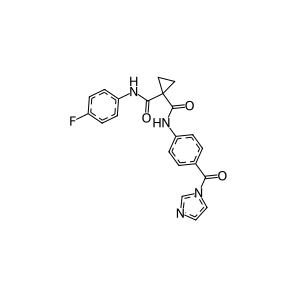 O=C(c1ccc(NC(=O)C2(C(=O)Nc3ccc(F)cc3)CC2)cc1)n1ccnc1